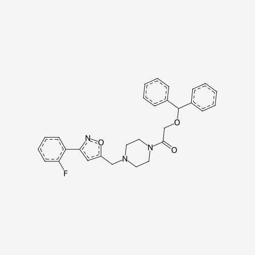 O=C(COC(c1ccccc1)c1ccccc1)N1CCN(Cc2cc(-c3ccccc3F)no2)CC1